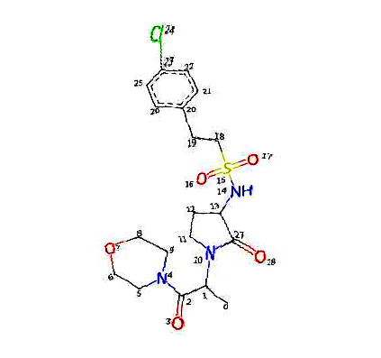 CC(C(=O)N1CCOCC1)N1CCC(NS(=O)(=O)CCc2ccc(Cl)cc2)C1=O